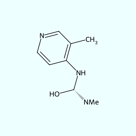 CN[C@H](O)Nc1ccncc1C